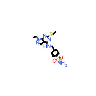 CCSc1nc(NCc2ccc(S(N)(=O)=O)cc2)c2cnn(CC)c2n1